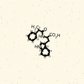 CC(C(=O)NC(Cc1c[nH]c2ccccc12)C(=O)O)c1ccccc1